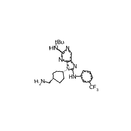 CC(C)(C)Nc1ncc2nc(Nc3cccc(C(F)(F)F)c3)n([C@H]3CC[C@H](CN)CC3)c2n1